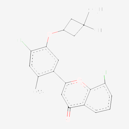 COc1cc(Cl)c(OC2CC(C)(C(=O)O)C2)cc1-c1cc(=O)c2cccc(Cl)c2o1